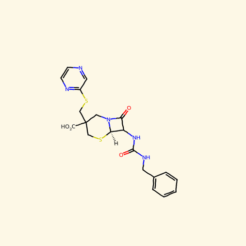 O=C(NCc1ccccc1)NC1C(=O)N2CC(CSc3cnccn3)(C(=O)O)CS[C@H]12